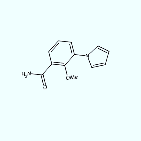 COc1c(C(N)=O)cccc1-n1cccc1